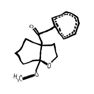 COC12CCCC1(C(=O)c1ccccc1)CCO2